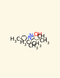 Cc1ccc(-n2nc(O)c(CC(C)C)c2C(C)(C)C)cc1